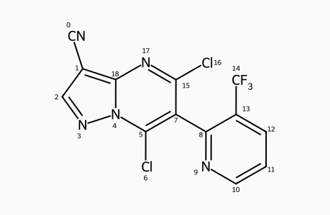 N#Cc1cnn2c(Cl)c(-c3ncccc3C(F)(F)F)c(Cl)nc12